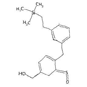 C[Si](C)(C)CCc1[c]ccc(CC2=CC=C(CO)CC2=S=O)c1